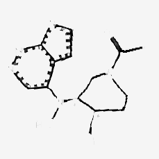 CCC(=O)N1CC[C@@H](C)[C@@H](N(C)c2cnnc3[nH]ccc23)C1